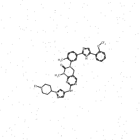 CCN1CCC(n2cc(Nc3ncc4c(n3)N(C)C(=O)N(c3cc(-c5ncc(-c6ccccc6OC(F)(F)F)[nH]5)ccc3C)C4)cn2)CC1